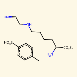 CCOC(=O)C(N)CCCCNCC=N.Cc1ccc(S(=O)(=O)O)cc1